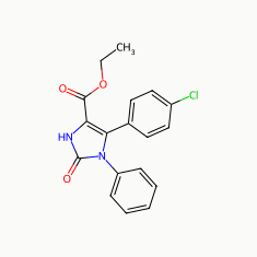 CCOC(=O)c1[nH]c(=O)n(-c2ccccc2)c1-c1ccc(Cl)cc1